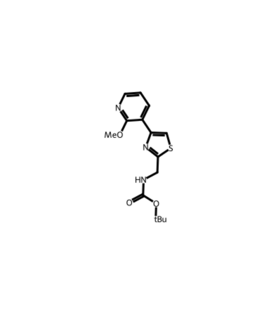 COc1ncccc1-c1csc(CNC(=O)OC(C)(C)C)n1